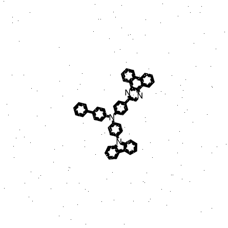 c1ccc(-c2ccc(N(c3ccc(-c4cnc5c6ccccc6c6ccccc6c5n4)cc3)c3ccc(-n4c5ccccc5c5ccccc54)cc3)cc2)cc1